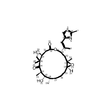 CC(=Cc1csc(C)n1)[C@@H]1C[C@]2(C)O[C@H]2CCC[C@H](C)[C@H](O)[C@@H](C)C(=O)C(C)(C)[C@@H](O)CC(=O)O1